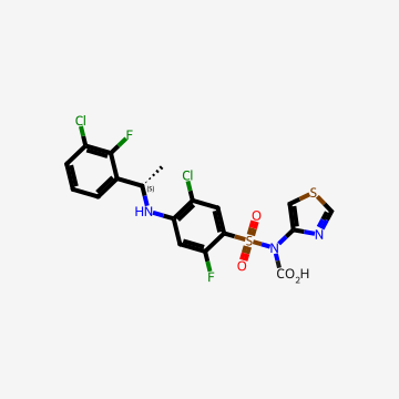 C[C@H](Nc1cc(F)c(S(=O)(=O)N(C(=O)O)c2cscn2)cc1Cl)c1cccc(Cl)c1F